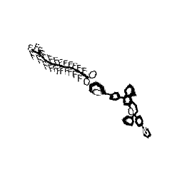 O=C(Oc1ccc(-c2ccc(-c3cc4c(c5ccccc35)C=CC(c3ccccc3)(c3ccc(N5CCCC5)cc3)O4)cc2)cc1)C(F)(F)C(F)(F)C(F)(F)C(F)(F)C(F)(F)C(F)(F)C(F)(F)C(F)(F)C(F)(F)C(F)(F)C(F)(F)F